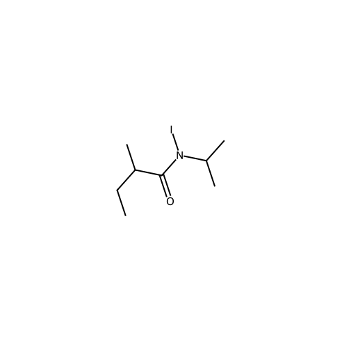 CCC(C)C(=O)N(I)C(C)C